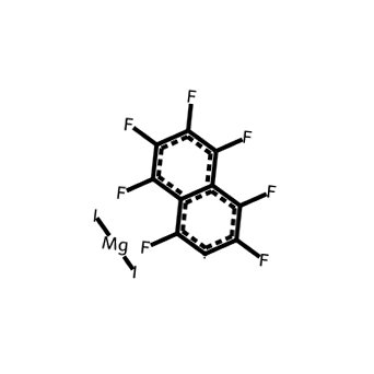 Fc1[c]c(F)c2c(F)c(F)c(F)c(F)c2c1F.[I][Mg][I]